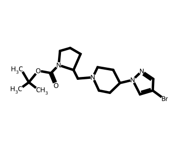 CC(C)(C)OC(=O)N1CCCC1CN1CCC(n2cc(Br)cn2)CC1